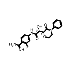 N=C(N)c1ccc(NC(=O)[C@H](O)[C@H]2OCCN(c3ccccc3)C2=O)cc1F